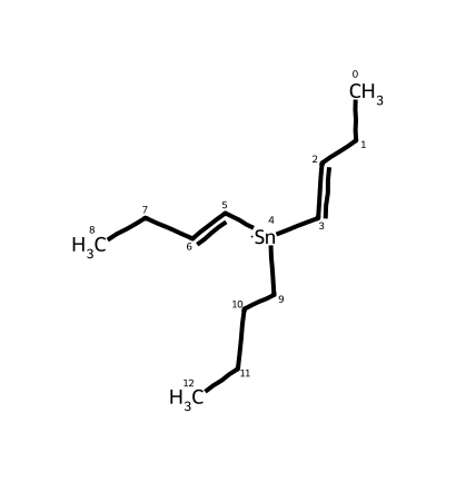 CCC=[CH][Sn]([CH]=CCC)[CH2]CCC